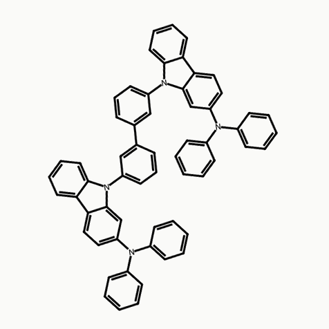 c1ccc(N(c2ccccc2)c2ccc3c4ccccc4n(-c4cccc(-c5cccc(-n6c7ccccc7c7ccc(N(c8ccccc8)c8ccccc8)cc76)c5)c4)c3c2)cc1